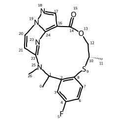 CC1c2cc(F)ccc2S[C@@H](C)COC(=O)c2cnn3ccc(nc23)N1C